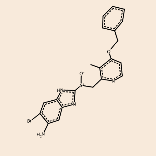 Cc1c(OCc2ccccc2)ccnc1C[S+]([O-])c1nc2cc(N)c(Br)cc2[nH]1